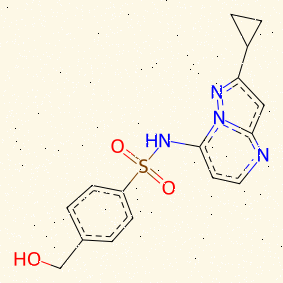 O=S(=O)(Nc1ccnc2cc(C3CC3)nn12)c1ccc(CO)cc1